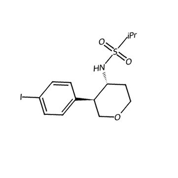 CC(C)S(=O)(=O)N[C@@H]1CCOC[C@H]1c1ccc(I)cc1